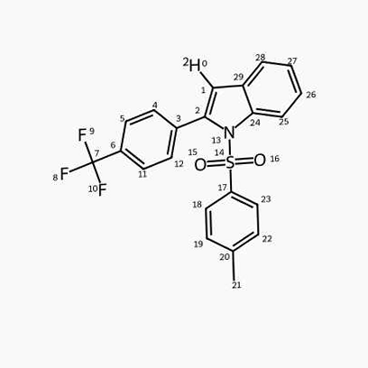 [2H]c1c(-c2ccc(C(F)(F)F)cc2)n(S(=O)(=O)c2ccc(C)cc2)c2ccccc12